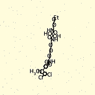 CCOCCOCCNC(=O)C(O)C(O)C(=O)NCCOCCOCCOCCNS(=O)(=O)c1ccc(C2CN(C)Cc3c(Cl)cc(Cl)cc32)cc1